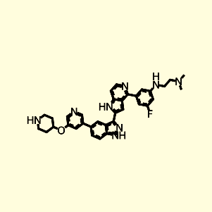 CN(C)CCNc1cc(F)cc(-c2nccc3[nH]c(-c4n[nH]c5ccc(-c6cncc(OC7CCNCC7)c6)cc45)cc23)c1